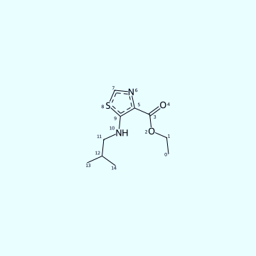 CCOC(=O)c1ncsc1NCC(C)C